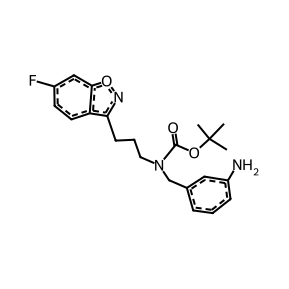 CC(C)(C)OC(=O)N(CCCc1noc2cc(F)ccc12)Cc1cccc(N)c1